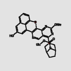 COc1nc(N2CC3CCC(C2)N3C(=O)OC(C)(C)C)c2cnc(-c3cc(O)cc4cccc(F)c34)c(F)c2n1